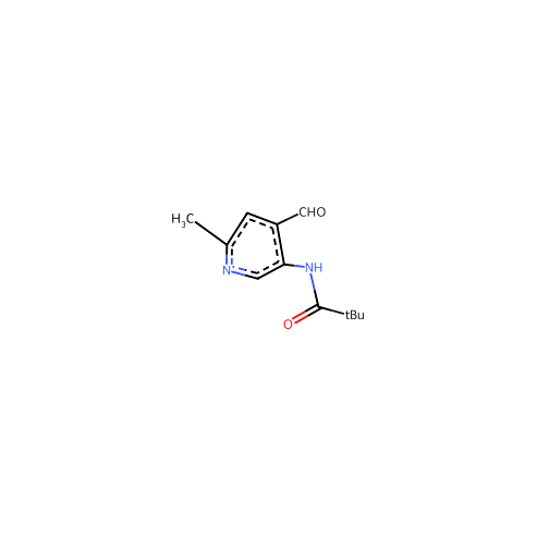 Cc1cc(C=O)c(NC(=O)C(C)(C)C)cn1